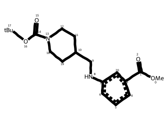 COC(=O)c1cccc(NCC2CCN(C(=O)OC(C)(C)C)CC2)c1